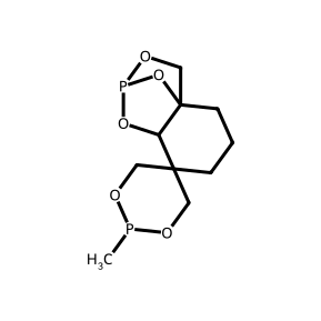 CP1OCC2(CCCC34COP(OC23)O4)CO1